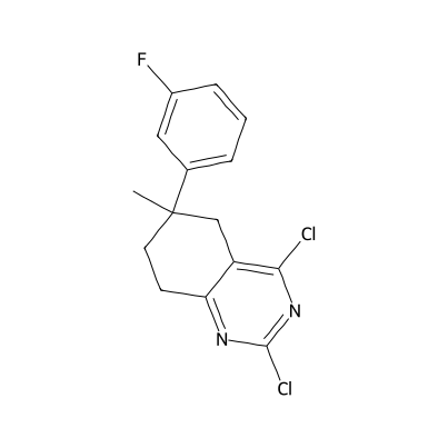 CC1(c2cccc(F)c2)CCc2nc(Cl)nc(Cl)c2C1